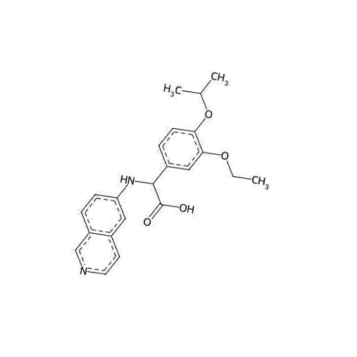 CCOc1cc(C(Nc2ccc3cnccc3c2)C(=O)O)ccc1OC(C)C